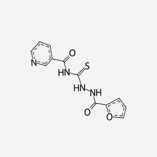 O=C(NC(=S)NNC(=O)c1ccco1)c1cccnc1